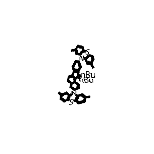 CCCCC1(CCCC)c2cc(N3c4cc(C)ccc4Sc4ccc(C)cc43)ccc2-c2ccc3cc(N4c5cc(C)ccc5Sc5ccc(C)cc54)ccc3c21